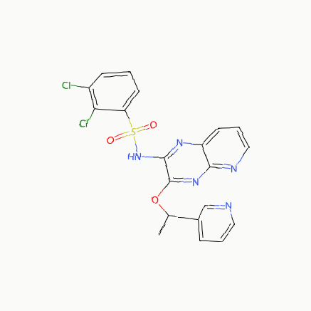 CC(Oc1nc2ncccc2nc1NS(=O)(=O)c1cccc(Cl)c1Cl)c1cccnc1